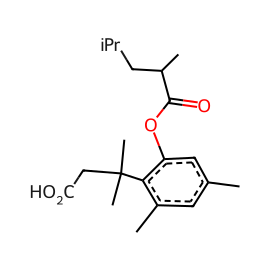 Cc1cc(C)c(C(C)(C)CC(=O)O)c(OC(=O)C(C)CC(C)C)c1